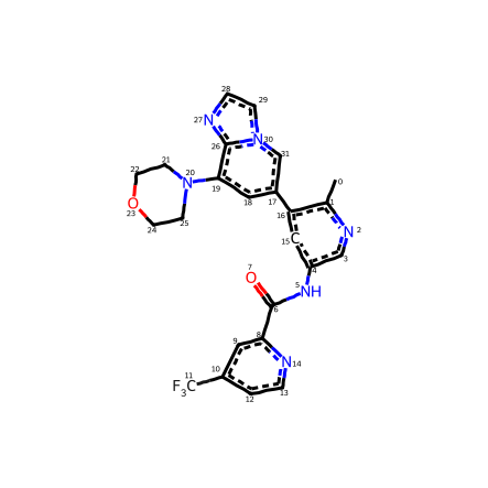 Cc1ncc(NC(=O)c2cc(C(F)(F)F)ccn2)cc1-c1cc(N2CCOCC2)c2nccn2c1